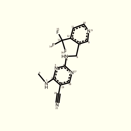 CNc1nc(NCc2cnccc2C(F)(F)F)ncc1C#N